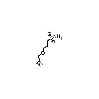 NS(=O)(=O)CCCOCC1CO1